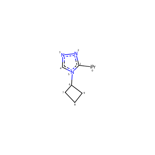 CC(C)c1nncn1C1CCC1